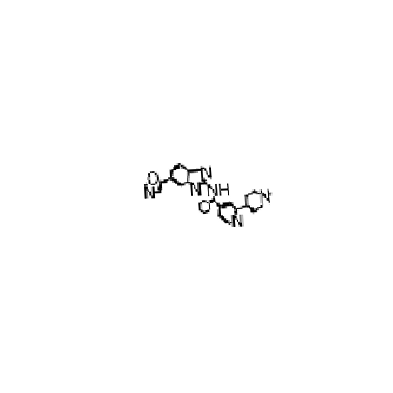 CN1CC=C(c2cc(C(=O)Nc3ncc4ccc(-c5cnco5)cc4n3)ccn2)CC1